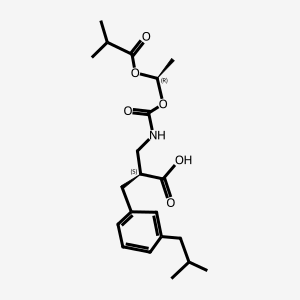 CC(C)Cc1cccc(C[C@@H](CNC(=O)O[C@H](C)OC(=O)C(C)C)C(=O)O)c1